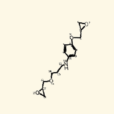 c1cc(OCC2CO2)ccc1NCCCOCC1CO1